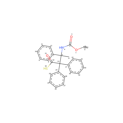 CC(C)(C)OC(=O)NC(C)(c1ccccc1)C(C(=O)S)(c1ccccc1)c1ccccc1